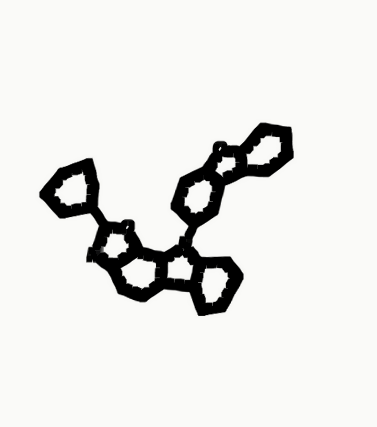 c1ccc(-c2nc3ccc4c5ccccc5n(-c5ccc6oc7ccccc7c6c5)c4c3o2)cc1